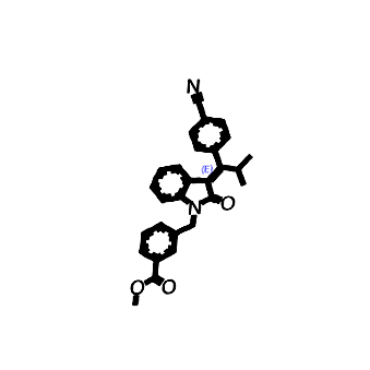 COC(=O)c1cccc(CN2C(=O)/C(=C(/c3ccc(C#N)cc3)C(C)C)c3ccccc32)c1